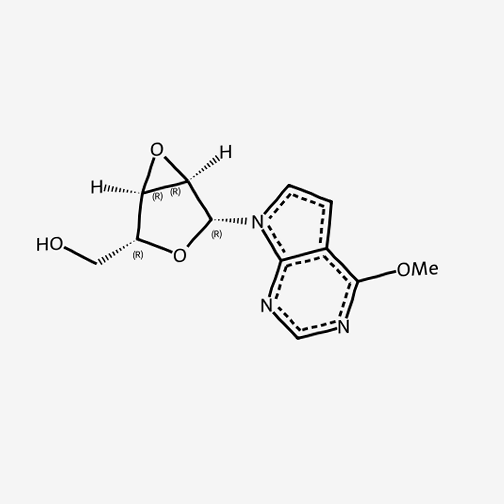 COc1ncnc2c1ccn2[C@@H]1O[C@H](CO)[C@H]2O[C@H]21